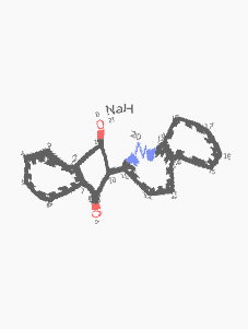 O=C1c2ccccc2C(=O)C1c1ccc2ccccc2n1.[NaH]